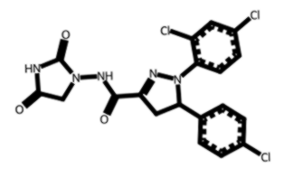 O=C1CN(NC(=O)C2=NN(c3ccc(Cl)cc3Cl)C(c3ccc(Cl)cc3)C2)C(=O)N1